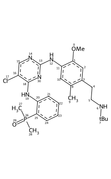 COc1cc(CCNC(C)(C)C)c(C)cc1Nc1ncc(Cl)c(Nc2ccccc2P(C)(C)=O)n1